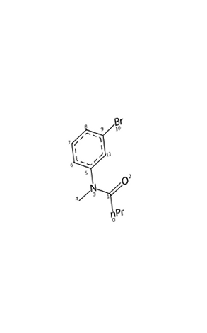 CCCC(=O)N(C)c1cccc(Br)c1